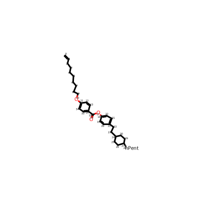 C=CCCCCCCCCOc1ccc(C(=O)Oc2ccc(CCC3CCC(CCCCC)CC3)cc2)cc1